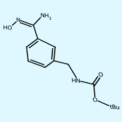 CC(C)(C)OC(=O)NCc1cccc(/C(N)=N\O)c1